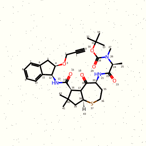 C#CCO[C@@H]1Cc2ccccc2[C@@H]1NC(=O)[C@H]1C2C(=O)[C@@H](NC(=O)[C@H](C)N(C)C(=O)OC(C)(C)C)CCS[C@H]2CC1(C)C